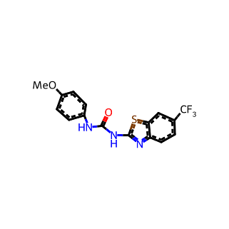 COc1ccc(NC(=O)Nc2nc3ccc(C(F)(F)F)cc3s2)cc1